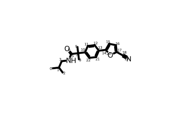 CC(C)CNC(=O)C(C)(C)c1ccc(-c2ccc(C#N)o2)cc1